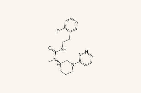 CN(C(=O)NCCc1ccccc1F)[C@@H]1CCCN(c2cccnn2)C1